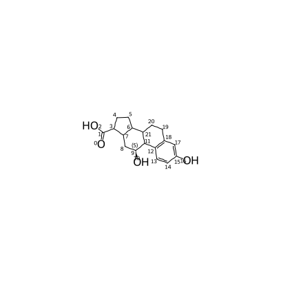 O=C(O)C1CCC2C1C[C@H](O)C1c3ccc(O)cc3CCC21